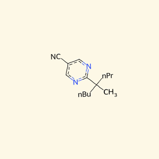 CCCCC(C)(CCC)c1ncc(C#N)cn1